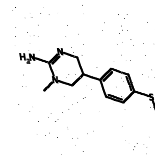 CSc1ccc(C2CN=C(N)N(C)C2)cc1